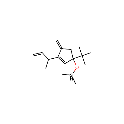 C=CC(C)C1=CC(O[SiH](C)C)(C(C)(C)C)CC1=C